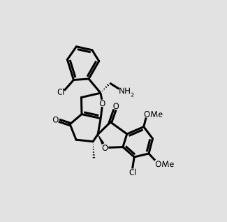 COc1cc(OC)c2c(c1Cl)O[C@]1(C2=O)C2=C(C[C@@](CN)(c3ccccc3Cl)O2)C(=O)C[C@H]1C